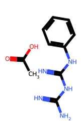 CC(=O)O.N=C(N)NC(=N)Nc1ccccc1